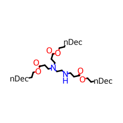 CCCCCCCCCCCCOC(=O)CCNCCN(CCC(=O)OCCCCCCCCCCCC)CCC(=O)OCCCCCCCCCCCC